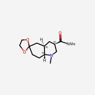 CNC(=O)[C@@H]1C[C@@H]2CC3(CC[C@H]2N(C)C1)OCCO3